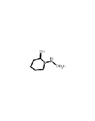 O=C(O)NN1CCCCC1O